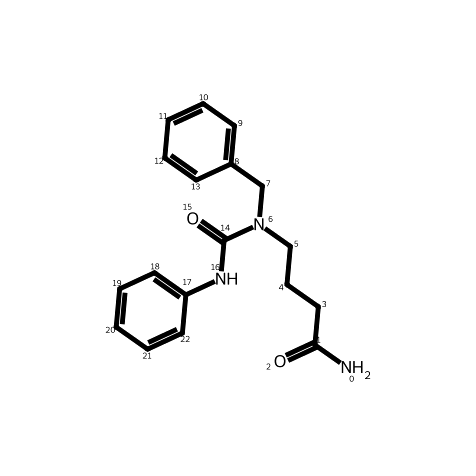 NC(=O)CCCN(Cc1ccccc1)C(=O)Nc1ccccc1